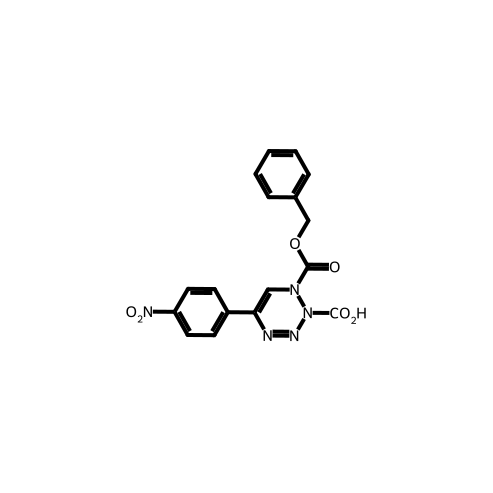 O=C(OCc1ccccc1)N1C=C(c2ccc([N+](=O)[O-])cc2)N=NN1C(=O)O